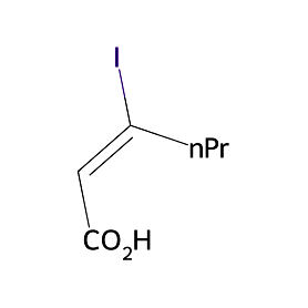 CCC/C(I)=C\C(=O)O